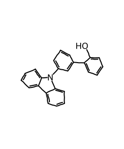 Oc1ccccc1-c1cccc(-n2c3ccccc3c3ccccc32)c1